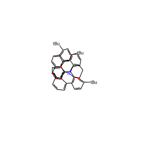 CC(C)(C)c1cc(-c2ccccc2N(c2cc(C(C)(C)C)ccc2-c2ccccc2)c2ccccc2-c2cccc3cccc(C4CCCCC4)c23)cc(C(C)(C)C)c1